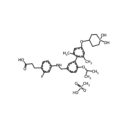 CS(=O)(=O)O.Cc1cc(OC2CCS(O)(O)CC2)cc(C)c1-c1cc(CNc2ccc(CCC(=O)O)c(F)c2)ccc1OC(C)C